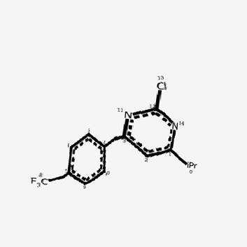 CC(C)c1cc(-c2ccc(C(F)(F)F)cc2)nc(Cl)n1